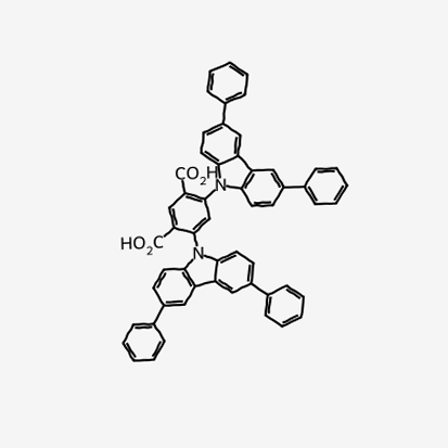 O=C(O)c1cc(C(=O)O)c(-n2c3ccc(-c4ccccc4)cc3c3cc(-c4ccccc4)ccc32)cc1-n1c2ccc(-c3ccccc3)cc2c2cc(-c3ccccc3)ccc21